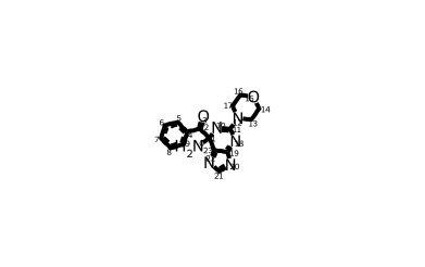 NC1(C(=O)c2ccccc2)N=C(N2CCOCC2)N=C2N=CN=C21